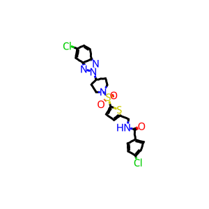 O=C(NCc1ccc(S(=O)(=O)N2CCC(n3nc4ccc(Cl)cc4n3)CC2)s1)c1ccc(Cl)cc1